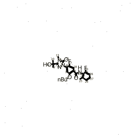 CCCCOc1cc(-n2nc(C(C)(C)O)n(C)c2=O)c(F)cc1C(=O)Nc1c(C)cccc1F